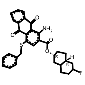 Nc1c(C(=O)O[C@@H]2CC[C@@H]3CC(F)CCC3C2)cc(SCc2ccccc2)c2c1C(=O)c1ccccc1C2=O